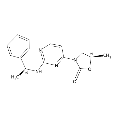 C[C@@H]1CN(c2ccnc(N[C@@H](C)c3ccccc3)n2)C(=O)O1